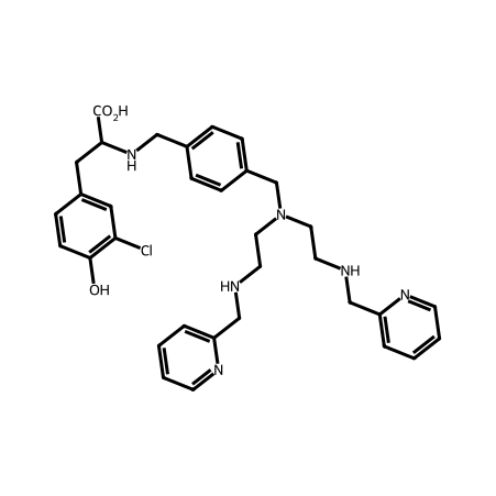 O=C(O)C(Cc1ccc(O)c(Cl)c1)NCc1ccc(CN(CCNCc2ccccn2)CCNCc2ccccn2)cc1